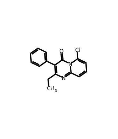 CCc1nc2cccc(Cl)n2c(=O)c1-c1ccccc1